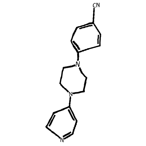 N#Cc1ccc(N2CCN(c3ccncc3)CC2)cc1